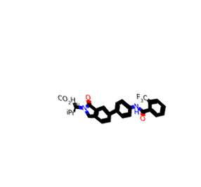 CC(C)[C@@H](C(=O)O)N1Cc2ccc(-c3ccc(NC(=O)c4ccccc4C(F)(F)F)cc3)cc2C1=O